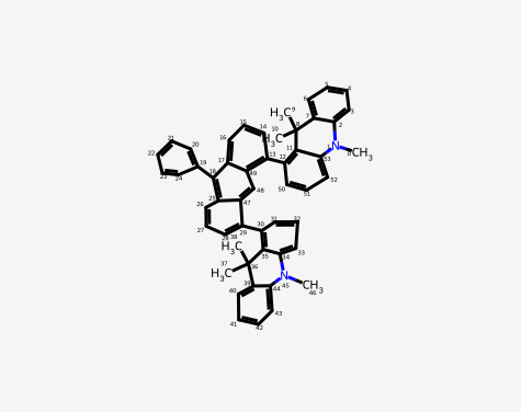 CN1c2ccccc2C(C)(C)c2c(-c3cccc4c(-c5ccccc5)c5cccc(-c6cccc7c6C(C)(C)c6ccccc6N7C)c5cc34)cccc21